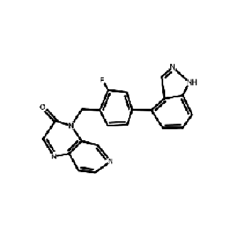 O=c1cnc2ccncc2n1Cc1ccc(-c2cccc3[nH]ncc23)cc1F